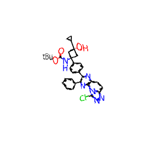 CC(C)(C)OC(=O)N[C@]1(c2ccc(-c3nc4ccc5nnc(Cl)n5c4nc3-c3ccccc3)cc2)C[C@](O)(C2CC2)C1